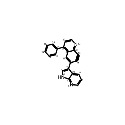 c1c(-c2c[nH]c3ncccc23)cc2c(-c3ccccc3)ccnc2c#1